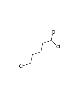 ClCCCCC(Cl)Cl